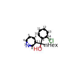 CCCCCCC(O)(c1cccnc1)c1ccccc1Cl